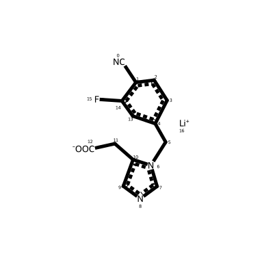 N#Cc1ccc(Cn2cncc2CC(=O)[O-])cc1F.[Li+]